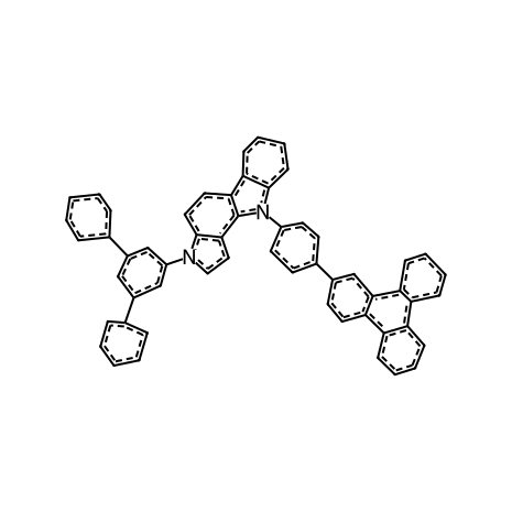 c1ccc(-c2cc(-c3ccccc3)cc(-n3ccc4c3ccc3c5ccccc5n(-c5ccc(-c6ccc7c8ccccc8c8ccccc8c7c6)cc5)c34)c2)cc1